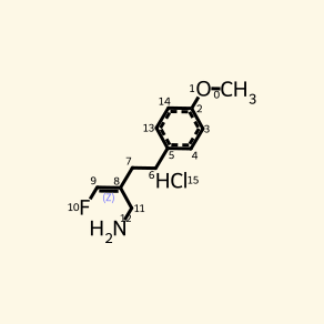 COc1ccc(CC/C(=C/F)CN)cc1.Cl